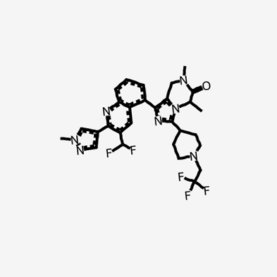 CC1C(=O)N(C)Cc2c(-c3cccc4nc(-c5cnn(C)c5)c(C(F)F)cc34)nc(C3CCN(CC(F)(F)F)CC3)n21